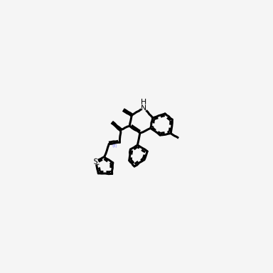 C=C(/C=C/c1cccs1)C1=C(c2ccccc2)c2cc(C)ccc2NC1=C